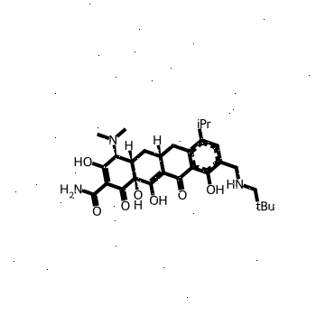 CC(C)c1cc(CNCC(C)(C)C)c(O)c2c1C[C@H]1C[C@H]3[C@H](N(C)C)C(O)=C(C(N)=O)C(=O)[C@@]3(O)C(O)=C1C2=O